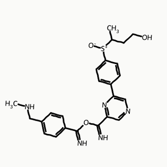 CNCc1ccc(C(=N)OC(=N)c2cncc(-c3ccc([S+]([O-])C(C)CCO)cc3)n2)cc1